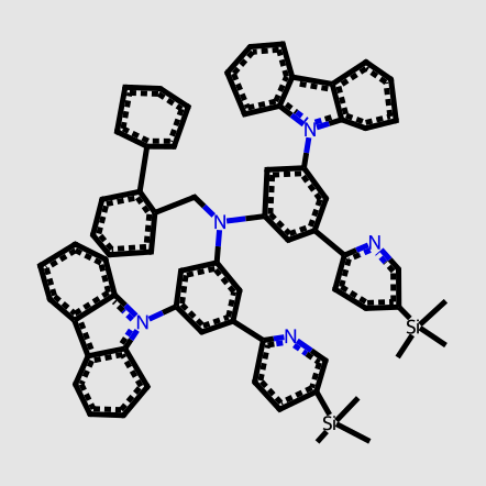 C[Si](C)(C)c1ccc(-c2cc(N(Cc3ccccc3-c3ccccc3)c3cc(-c4ccc([Si](C)(C)C)cn4)cc(-n4c5ccccc5c5ccccc54)c3)cc(-n3c4ccccc4c4ccccc43)c2)nc1